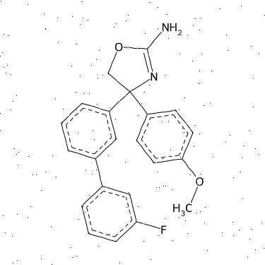 COc1ccc(C2(c3cccc(-c4cccc(F)c4)c3)COC(N)=N2)cc1